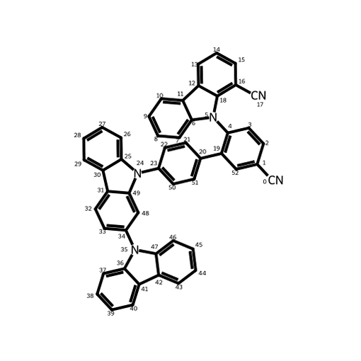 N#Cc1ccc(-n2c3ccccc3c3cccc(C#N)c32)c(-c2ccc(-n3c4ccccc4c4ccc(-n5c6ccccc6c6ccccc65)cc43)cc2)c1